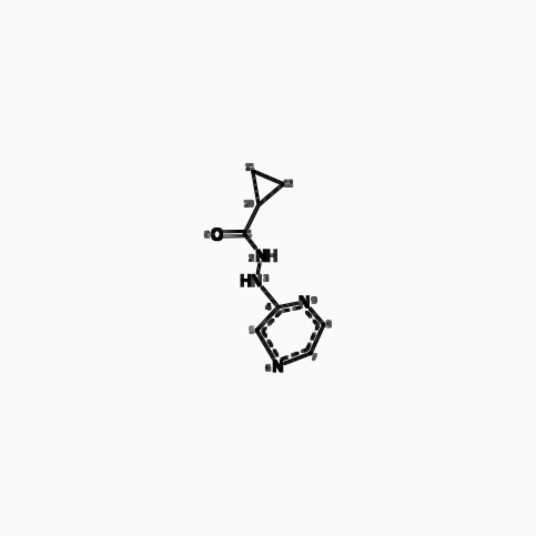 O=C(NNc1cnccn1)C1CC1